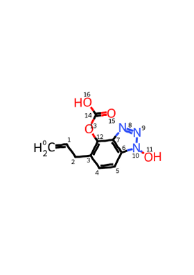 C=CCc1ccc2c(nnn2O)c1OC(=O)O